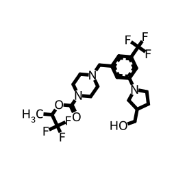 CC(OC(=O)N1CCN(Cc2cc(N3CCC(CO)C3)cc(C(F)(F)F)c2)CC1)C(F)(F)F